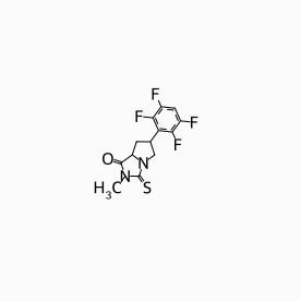 CN1C(=O)C2CC(c3c(F)c(F)cc(F)c3F)CN2C1=S